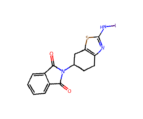 O=C1c2ccccc2C(=O)N1C1CCc2nc(NI)sc2C1